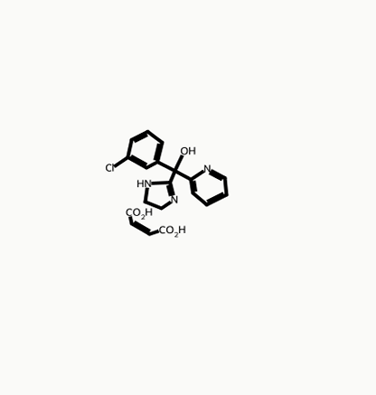 O=C(O)/C=C\C(=O)O.OC(C1=NCCN1)(c1cccc(Cl)c1)c1ccccn1